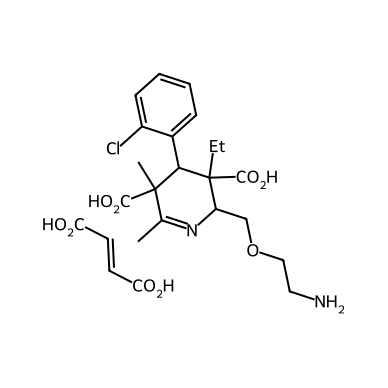 CCC1(C(=O)O)C(COCCN)N=C(C)C(C)(C(=O)O)C1c1ccccc1Cl.O=C(O)/C=C/C(=O)O